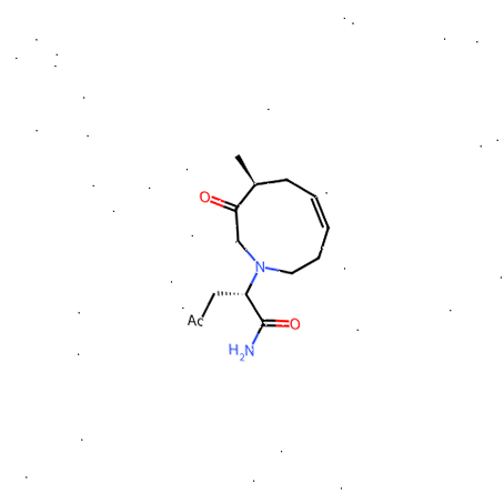 CC(=O)C[C@@H](C(N)=O)N1CC/C=C\C[C@H](C)C(=O)C1